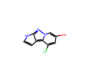 Oc1cc(Cl)c2c3cc[nH]c3nn2c1